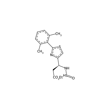 CCOC(=O)C[C@H](N[SH]=O)c1csc(-c2c(C)cccc2C)n1